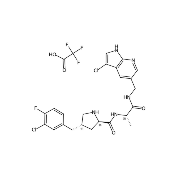 C[C@H](NC(=O)[C@H]1C[C@H](Cc2ccc(F)c(Cl)c2)CN1)C(=O)NCc1cnc2[nH]cc(Cl)c2c1.O=C(O)C(F)(F)F